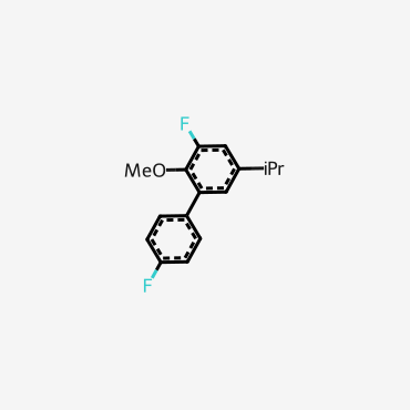 COc1c(F)cc(C(C)C)cc1-c1ccc(F)cc1